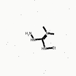 CCNC(NN)=[N+](C)C